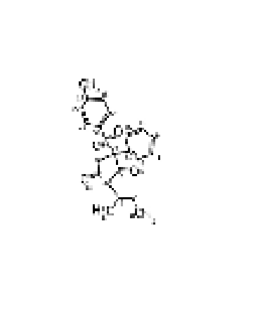 CCC(C)CC(=O)C(CC=O)(c1ccccc1)S(=O)(=O)c1ccc(C)cc1